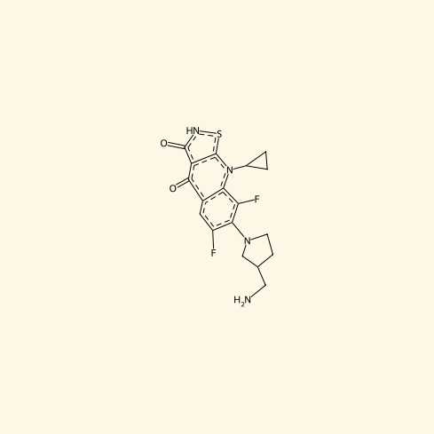 NCC1CCN(c2c(F)cc3c(=O)c4c(=O)[nH]sc4n(C4CC4)c3c2F)C1